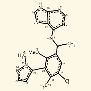 COc1c(C(C)Nc2ncnc3[nH]cnc23)cc(Cl)c(C)c1-c1ccnn1C